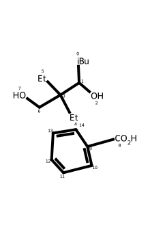 CCC(C)C(O)C(CC)(CC)CO.O=C(O)c1ccccc1